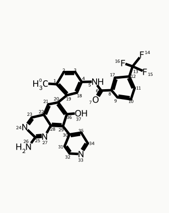 Cc1ccc(NC(=O)c2cccc(C(F)(F)F)c2)cc1-c1cc2cnc(N)nc2c(-c2ccncc2)c1O